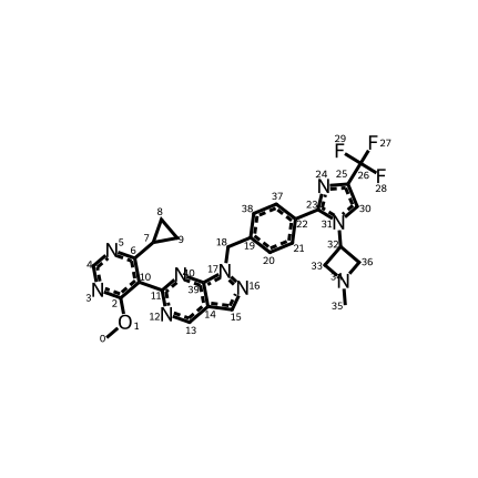 COc1ncnc(C2CC2)c1-c1ncc2cnn(Cc3ccc(-c4nc(C(F)(F)F)cn4C4CN(C)C4)cc3)c2n1